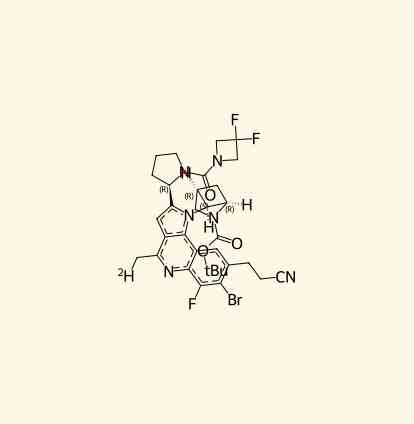 [2H]Cc1nc2c(F)c(Br)c(CCC#N)cc2c2c1cc([C@H]1CCCN1C(=O)N1CC(F)(F)C1)n2[C@H]1[C@@H]2C[C@H]1N(C(=O)OC(C)(C)C)C2